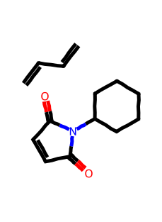 C=CC=C.O=C1C=CC(=O)N1C1CCCCC1